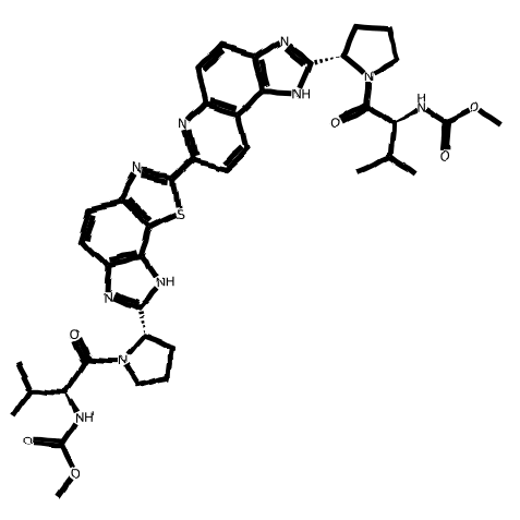 COC(=O)N[C@H](C(=O)N1CCC[C@H]1c1nc2ccc3nc(-c4nc5ccc6nc([C@@H]7CCCN7C(=O)[C@@H](NC(=O)OC)C(C)C)[nH]c6c5s4)ccc3c2[nH]1)C(C)C